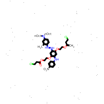 C=C(CCCl)OCCOc1cc(Nc2ccc([N+](=O)[O-])cc2)c(OCCOC(=O)CCCl)cc1NNc1ccc(N(CCCCCCCC)CCCCCCCC)cc1C